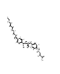 CCCCCCCCCCOc1ccc(C(C)OC(=O)Cc2ccc(OCCCCC)cc2)cc1